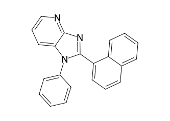 c1ccc(-n2c(-c3cccc4ccccc34)nc3ncccc32)cc1